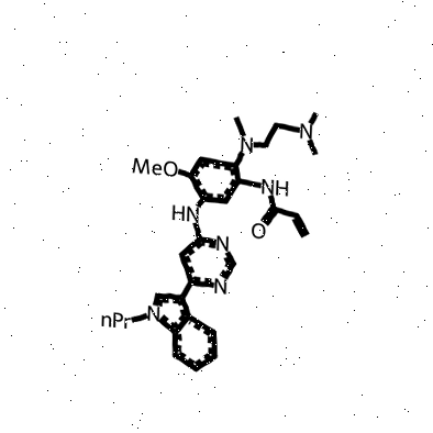 C=CC(=O)Nc1cc(Nc2cc(-c3cn(CCC)c4ccccc34)ncn2)c(OC)cc1N(C)CCN(C)C